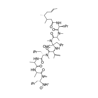 C=C(C)[C@H](NC(C=O)(CC(C)C)N(C)C(=O)C(C)N(C)C(=O)[C@H](CCC)NC(=O)CC(C)[C@H](C)C/C=C/C)C(=O)N(C)[C@@H](CC(C)C)C(=O)NC(C)C(=O)NC(C)C(=O)[N+](=C)[C@@H](CC(C)C)[NH+](C)[O-]